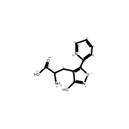 NC(Cc1c(O)noc1-c1ccccn1)C(=O)O